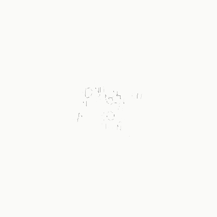 CCN1CCN(c2cc(NC(=O)Cn3cc(-c4cc(C(N)=O)c(O)c5c4OCO5)c4c(=O)n5c(nc43)CC(C)C5)c(Cl)c(F)n2)CC1